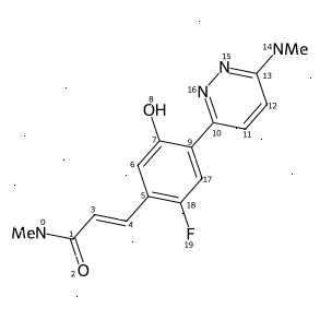 CNC(=O)/C=C/c1cc(O)c(-c2ccc(NC)nn2)cc1F